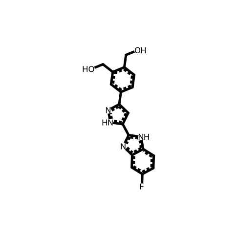 OCc1ccc(-c2cc(-c3nc4cc(F)ccc4[nH]3)[nH]n2)cc1CO